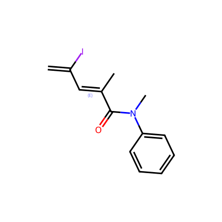 C=C(I)/C=C(\C)C(=O)N(C)c1ccccc1